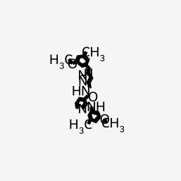 COc1cc(C)cc(Cn2cc(CNC(=O)c3cccnc3Nc3cc(C)cc(OC)c3)nn2)c1